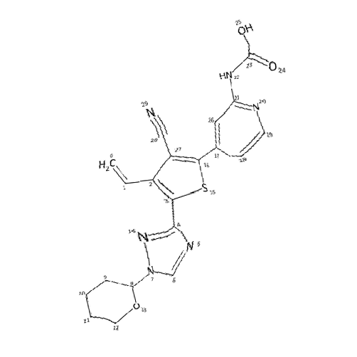 C=Cc1c(-c2ncn(C3CCCCO3)n2)sc(-c2ccnc(NC(=O)O)c2)c1C#N